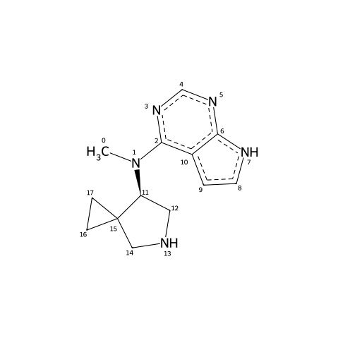 CN(c1ncnc2[nH]ccc12)[C@H]1CNCC12CC2